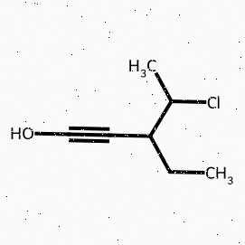 CCC(C#CO)C(C)Cl